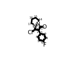 O=c1c(-c2ccc(F)cc2)c(Cl)n2n1CCCC2